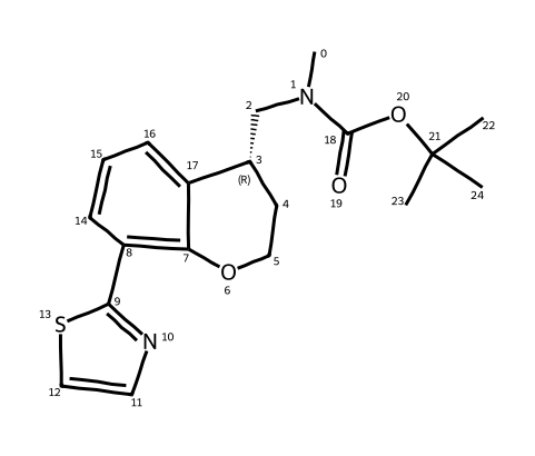 CN(C[C@@H]1CCOc2c(-c3nccs3)cccc21)C(=O)OC(C)(C)C